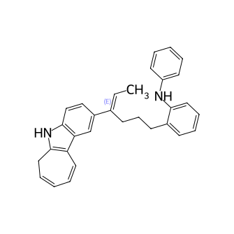 C/C=C(\CCCc1ccccc1Nc1ccccc1)c1ccc2[nH]c3c(c2c1)C=CC=CC3